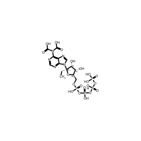 CC[C@@]1(n2cnc3c(N(C(=O)O)C(=O)O)ncnc32)O[C@H](COP(=O)(O)OP(=O)(O)OP(=O)(O)OP(=O)(O)O)[C@@H](O)[C@H]1O